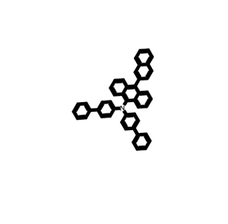 c1ccc(-c2ccc(N(c3ccc(-c4ccccc4)cc3)c3c4ccccc4c(-c4ccc5ccccc5c4)c4ccccc34)cc2)cc1